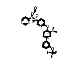 CN(C)[C@H]1C[C@@H](c2cccc(OC(F)(F)F)c2)CC[C@@H]1Oc1ccc(S(=O)(=O)N(OC=O)c2ccncn2)cn1